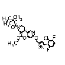 CCOC(=O)[C@H]1CN(C(=O)OC(C)(C)C)CC[C@H]1c1ccc(OCc2cc(-c3c(F)ccc(F)c3Cl)no2)nc1